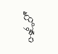 CCOc1cc(-c2ccccc2)nn1CCOc1ccc2cc(Br)ccc2c1